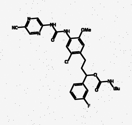 COc1cc(CCC(OC(=O)NC(C)(C)C)c2cccc(F)c2)c(Cl)cc1NC(=O)Nc1cnc(C#N)cn1